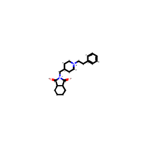 O=C1C2CCCCC2C(=O)N1CC1CCN(CCc2ccccc2)CC1